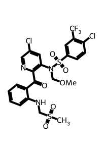 COCN(c1cc(Cl)cnc1C(=O)c1ccccc1NCS(C)(=O)=O)S(=O)(=O)c1ccc(Cl)c(C(F)(F)F)c1